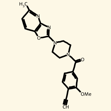 C#Cc1ccc(C(=O)N2CCN(c3nc4nc(C)ccc4o3)CC2)cc1OC